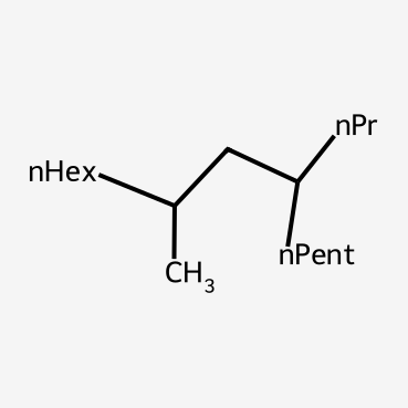 CCCCCCC(C)CC(CCC)CCCCC